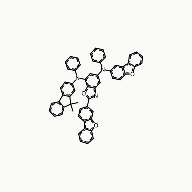 CC1(C)c2ccccc2-c2ccc(N(c3ccccc3)c3cc(N(c4ccccc4)c4ccc5oc6ccccc6c5c4)cc4nc(-c5ccc6c(c5)oc5ccccc56)oc34)cc21